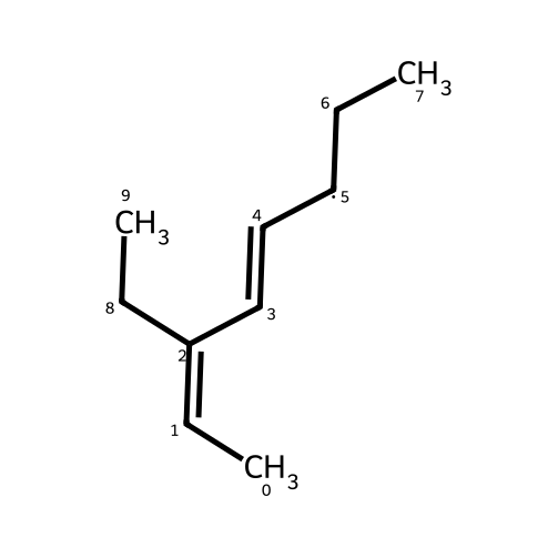 CC=C(C=C[CH]CC)CC